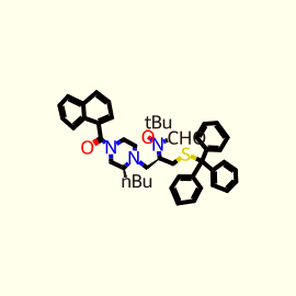 CCCC[C@H]1CN(C(=O)c2cccc3ccccc23)CCN1C[C@H](CSC(c1ccccc1)(c1ccccc1)c1ccccc1)N(C=O)OC(C)(C)C